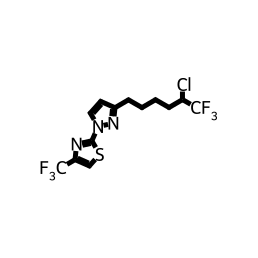 FC(F)(F)c1csc(-n2ccc(CCCCC(Cl)C(F)(F)F)n2)n1